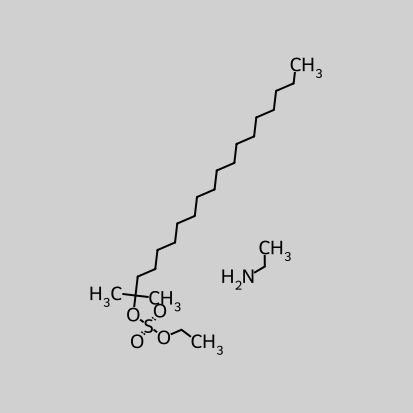 CCCCCCCCCCCCCCCCCC(C)(C)OS(=O)(=O)OCC.CCN